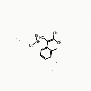 CCNCC.Cc1ccccc1C(C#N)=C(C#N)C#N